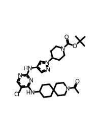 CC(=O)N1CCC2(CCC(Nc3nc(Nc4cnn(C5CCN(C(=O)OC(C)(C)C)CC5)c4)ncc3Cl)CC2)CC1